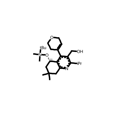 CC(C)c1nc2c(c(C3=CCOCC3)c1CO)[C@@H](O[Si](C)(C)C(C)(C)C)CC(C)(C)C2